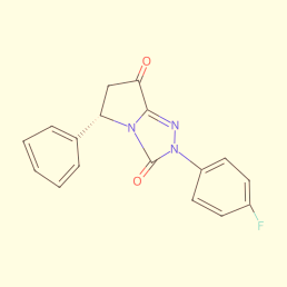 O=C1C[C@@H](c2ccccc2)n2c1nn(-c1ccc(F)cc1)c2=O